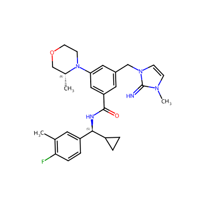 Cc1cc([C@@H](NC(=O)c2cc(Cn3ccn(C)c3=N)cc(N3CCOC[C@H]3C)c2)C2CC2)ccc1F